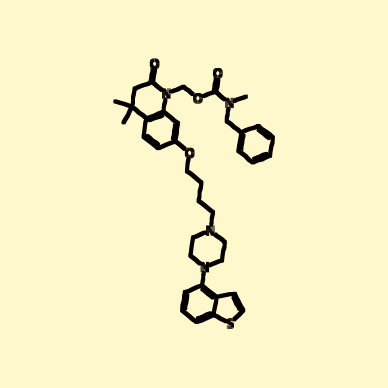 CN(Cc1ccccc1)C(=O)OCN1C(=O)CC(C)(C)c2ccc(OCCCCN3CCN(c4cccc5sccc45)CC3)cc21